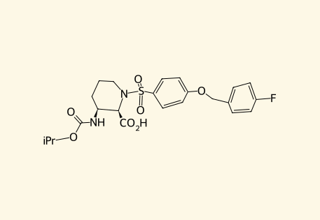 CC(C)OC(=O)N[C@H]1CCCN(S(=O)(=O)c2ccc(OCc3ccc(F)cc3)cc2)[C@H]1C(=O)O